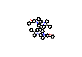 c1ccc(B2c3ccccc3N(c3ccccc3)c3c2ccc2c3-c3cc(-n4c5ccccc5c5cc6c(cc54)oc4ccccc46)ccc3C23c2ccc(-n4c5ccccc5c5cc6oc7ccccc7c6cc54)cc2-c2c3ccc3c2N(c2ccccc2)c2ccccc2B3c2ccccc2)cc1